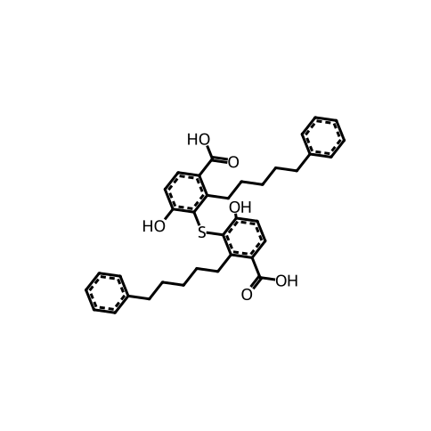 O=C(O)c1ccc(O)c(Sc2c(O)ccc(C(=O)O)c2CCCCCc2ccccc2)c1CCCCCc1ccccc1